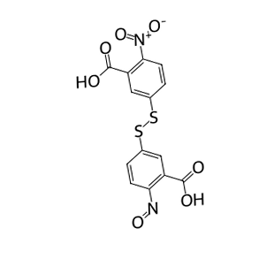 O=Nc1ccc(SSc2ccc([N+](=O)[O-])c(C(=O)O)c2)cc1C(=O)O